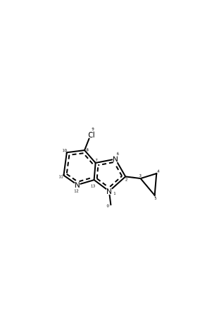 Cn1c(C2CC2)nc2c(Cl)ccnc21